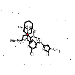 CCNC(=O)C(CCOC)N1[C@@H]2CCC[C@H]1CC(N(C)c1nc(Cl)cc(Nc3cc(C)[nH]n3)n1)C2